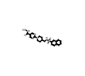 O=C(NO)c1cnc(N2CCC(CNS(=O)(=O)c3ccc4ccccc4c3)CC2)nc1